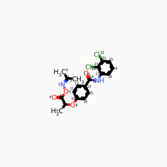 CC(C)=NOC(=O)C(C)Oc1ccc(C(=O)Nc2cccc(Cl)c2Cl)cc1